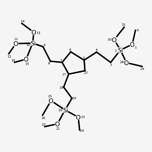 CO[Si](CCC1CC(CC[Si](OC)(OC)OC)C(CC[Si](OC)(OC)OC)C1)(OC)OC